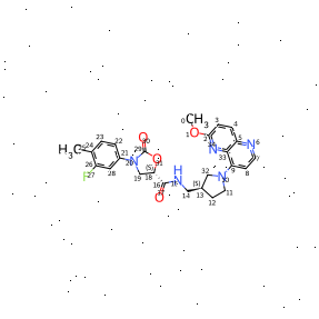 COc1ccc2nccc(N3CC[C@@H](CNC(=O)[C@@H]4CN(c5ccc(C)c(F)c5)C(=O)O4)C3)c2n1